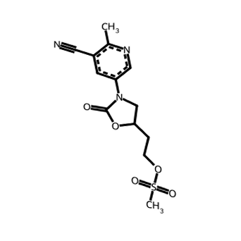 Cc1ncc(N2CC(CCOS(C)(=O)=O)OC2=O)cc1C#N